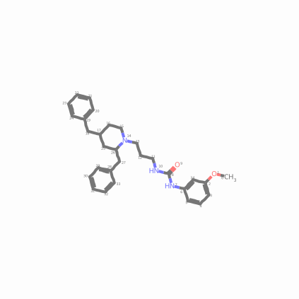 COc1cccc(NC(=O)NCCCN2CCC(Cc3ccccc3)CC2Cc2ccccc2)c1